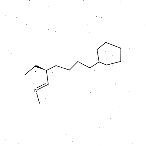 CC[C@H](/C=N/C)CCCCC1CCCCC1